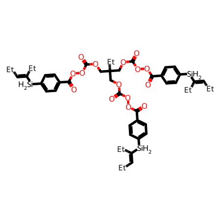 CC/C=C(\CC)[SiH2]c1ccc(C(=O)OOC(=O)OCC(CC)(COC(=O)OOC(=O)c2ccc([SiH2]/C(=C/CC)CC)cc2)COC(=O)OOC(=O)c2ccc([SiH2]/C(=C/CC)CC)cc2)cc1